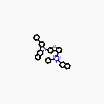 C1=CCCC(c2ccc3c(c2)c2cc4ccccc4cc2n3-c2ccc3c(c2)oc2cccc(-c4nc(-c5ccccc5)nc(-c5ccc6ccccc6c5)n4)c23)=C1